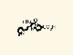 CCCCc1c(C=Cc2cccc(C)n2)nc2ccc(C(=O)O)cn2c1=O